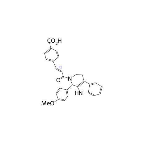 COc1ccc(C2c3[nH]c4ccccc4c3CCN2C(=O)/C=C/c2ccc(C(=O)O)cc2)cc1